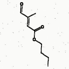 CCCCOC(=O)/C=C(\C)C=O